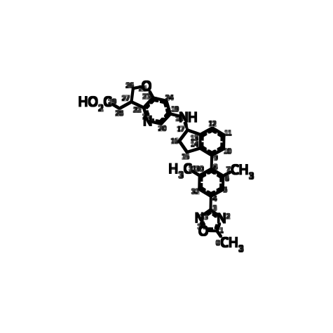 Cc1nc(-c2cc(C)c(-c3cccc4c3CC[C@H]4Nc3cnc4c(c3)OCC4CC(=O)O)c(C)c2)no1